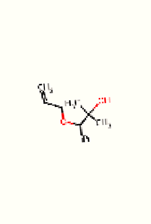 C=CCOC(C(C)C)C(C)(C)O